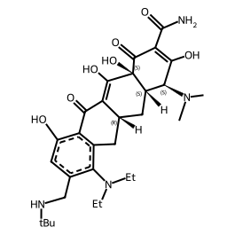 CCN(CC)c1c(CNC(C)(C)C)cc(O)c2c1C[C@H]1C[C@H]3[C@H](N(C)C)C(O)=C(C(N)=O)C(=O)[C@@]3(O)C(O)=C1C2=O